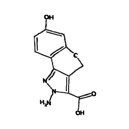 Nn1nc2c(c1C(=O)O)CCc1cc(O)ccc1-2